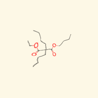 CCCCOC(=O)C(CCCC)(CCCC)C(=O)OCC